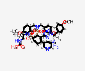 COc1ccc(CN(Cc2ccc(OC)cc2)S(=O)(=O)c2c(S(=O)(=O)N[C@H](C)CNC(=O)O)ccc(-c3cncc(N)c3)c2-c2nnn(Cc3ccc(OC)cc3)n2)cc1